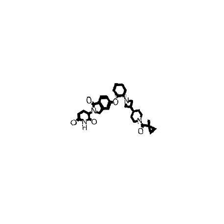 CC1(C(=O)N2CCC(C3CN([C@@H]4CCCC[C@@H]4Oc4ccc5c(c4)CN(C4CCC(=O)NC4=O)C5=O)C3)CC2)CC1